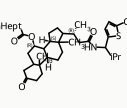 CCCCCCCC(=O)O[C@@H]1CC2CC(=O)CCC2(C)[C@H]2CCC3(C)C([C@H](C)CC(=O)NC(c4ccc(Cl)s4)C(C)C)CC[C@H]3C12